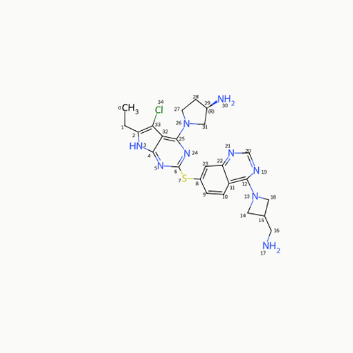 CCc1[nH]c2nc(Sc3ccc4c(N5CC(CN)C5)ncnc4c3)nc(N3CC[C@@H](N)C3)c2c1Cl